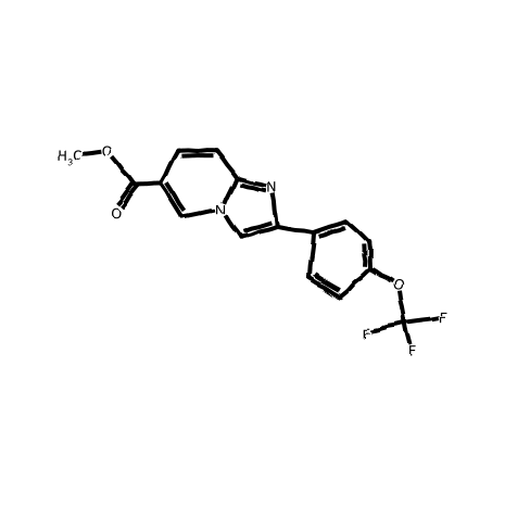 COC(=O)c1ccc2nc(-c3ccc(OC(F)(F)F)cc3)cn2c1